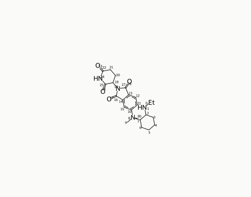 CCNC1CCCC[C@H]1N(C)c1ccc2c(c1)C(=O)N(C1CCC(=O)NC1=O)C2=O